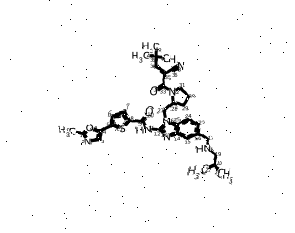 Cc1ncc(-c2ccc(C(=O)Nc3nc4cc(CNCC(C)C)ccc4n3CC3CCCN3C(=O)C(C#N)=CC(C)(C)C)s2)o1